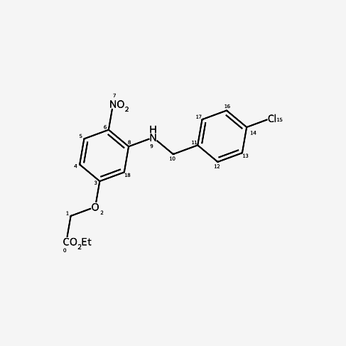 CCOC(=O)COc1ccc([N+](=O)[O-])c(NCc2ccc(Cl)cc2)c1